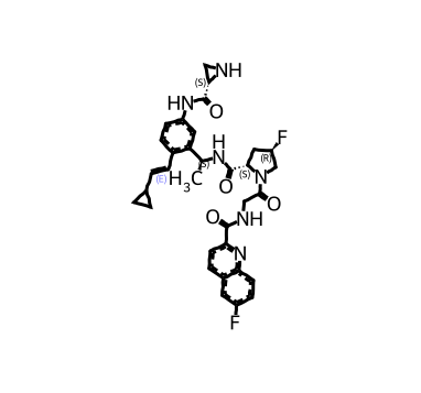 C[C@H](NC(=O)[C@@H]1C[C@@H](F)CN1C(=O)CNC(=O)c1ccc2cc(F)ccc2n1)c1cc(NC(=O)[C@@H]2CN2)ccc1/C=C/C1CC1